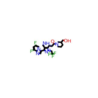 N=Cc1c(-c2cnc3c(F)cc(F)cn23)nn(CC(F)(F)F)c1/C=C/C(=O)N1CCCC(CO)C1